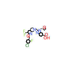 O=C(O)c1ccc2nc(CN3CCc4cc(C(F)F)c(OCc5ccc(Cl)cc5F)nc4C3)n(C[C@@H]3CCO3)c2c1